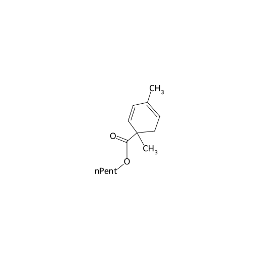 CCCCCOC(=O)C1(C)C=CC(C)=CC1